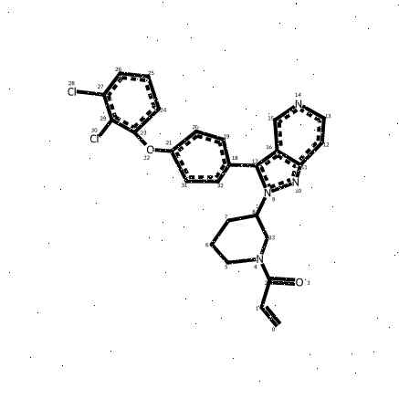 C=CC(=O)N1CCCC(n2nc3ccncc3c2-c2ccc(Oc3cccc(Cl)c3Cl)cc2)C1